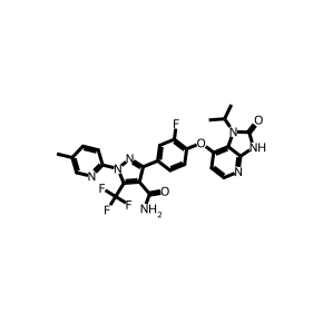 Cc1ccc(-n2nc(-c3ccc(Oc4ccnc5[nH]c(=O)n(C(C)C)c45)c(F)c3)c(C(N)=O)c2C(F)(F)F)nc1